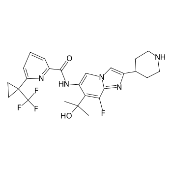 CC(C)(O)c1c(NC(=O)c2cccc(C3(C(F)(F)F)CC3)n2)cn2cc(C3CCNCC3)nc2c1F